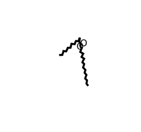 C=C(CCCCCCCCC)C(=O)OCCCCCCCCCCCCCCC